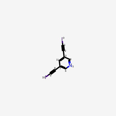 IC#Cc1cncc(C#CI)c1